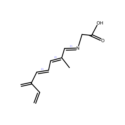 C=CC(=C)/C=C/C=C(C)/C=N/CC(=O)O